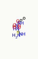 N=C(N)c1cc(CNC(=O)[C@@H]2CC3(CN2C(=O)CNC(=O)c2ccc(-c4ccccc4)cc2)OCCO3)cs1